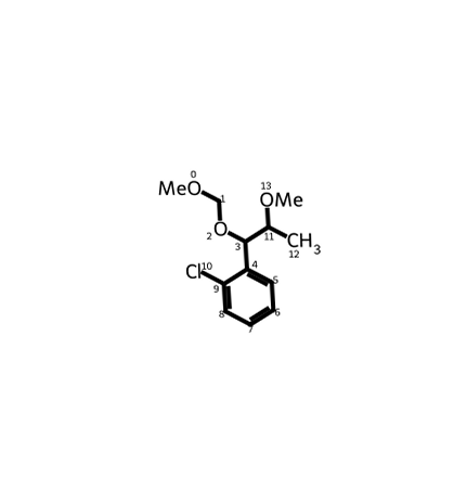 COCOC(c1ccccc1Cl)C(C)OC